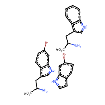 Brc1ccc2cc[nH]c2c1.NC(Cc1c[nH]c2cc(Br)ccc12)C(=O)O.NC(Cc1c[nH]c2ccccc12)C(=O)O